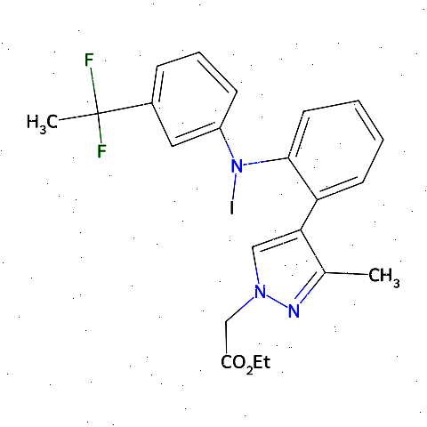 CCOC(=O)Cn1cc(-c2ccccc2N(I)c2cccc(C(C)(F)F)c2)c(C)n1